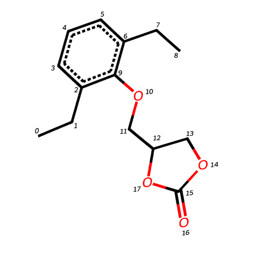 CCc1cccc(CC)c1OCC1COC(=O)O1